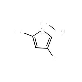 CC(=O)O.Cc1cc(Br)c[nH]1